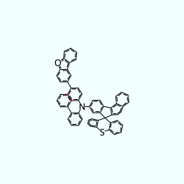 c1ccc(-c2ccccc2N(c2ccc(-c3ccc4oc5ccccc5c4c3)cc2)c2ccc3c(c2)C2(c4ccccc4Sc4ccccc42)c2ccc4ccccc4c2-3)cc1